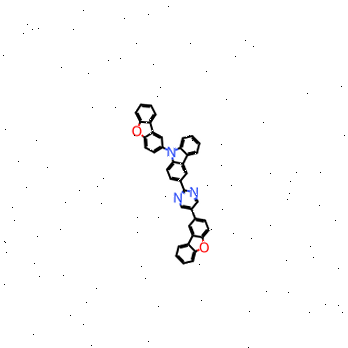 c1ccc2c(c1)oc1ccc(-c3cnc(-c4ccc5c(c4)c4ccccc4n5-c4ccc5oc6ccccc6c5c4)nc3)cc12